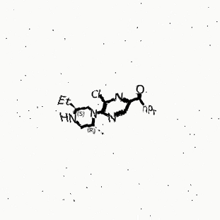 CCCC(=O)c1cnc(N2C[C@H](CC)NC[C@H]2C)c(Cl)n1